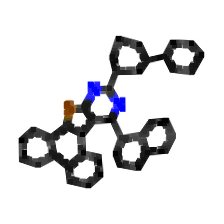 c1ccc(-c2cccc(-c3nc(-c4cccc5ccccc45)c4c(n3)sc3c5ccccc5c5ccccc5c34)c2)cc1